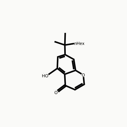 CCCCCCC(C)(C)c1cc(O)c2c(=O)ccoc2c1